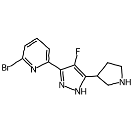 Fc1c(-c2cccc(Br)n2)n[nH]c1C1CCNC1